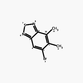 Cc1c(Br)cc2nsnc2c1C